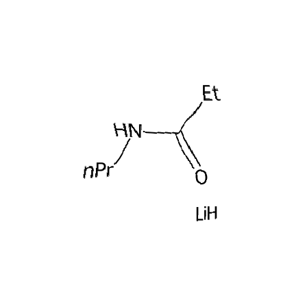 CCCNC(=O)CC.[LiH]